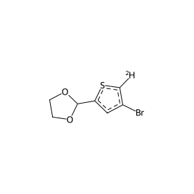 [2H]c1sc(C2OCCO2)cc1Br